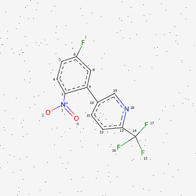 O=[N+]([O-])c1ccc(F)cc1-c1ccc(C(F)(F)F)nc1